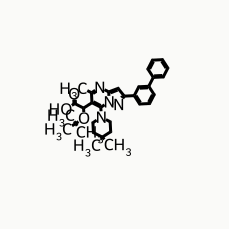 Cc1nc2cc(-c3cccc(-c4ccccc4)c3)nn2c(N2CCC(C)(C)CC2)c1C(OC(C)(C)C)C(=O)O